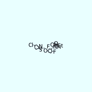 CCC(=O)NC(O)c1c(F)ccc(OCc2nc3cc(Cl)ccc3s2)c1F